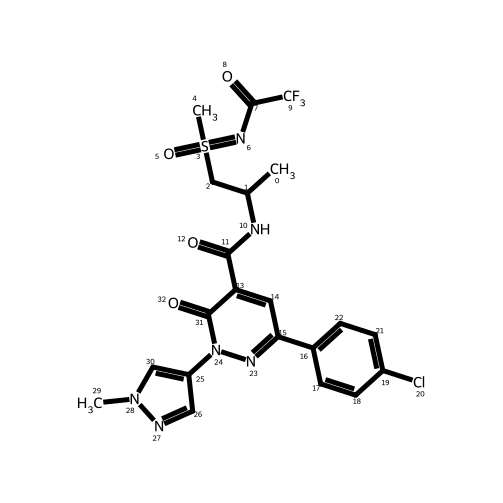 CC(CS(C)(=O)=NC(=O)C(F)(F)F)NC(=O)c1cc(-c2ccc(Cl)cc2)nn(-c2cnn(C)c2)c1=O